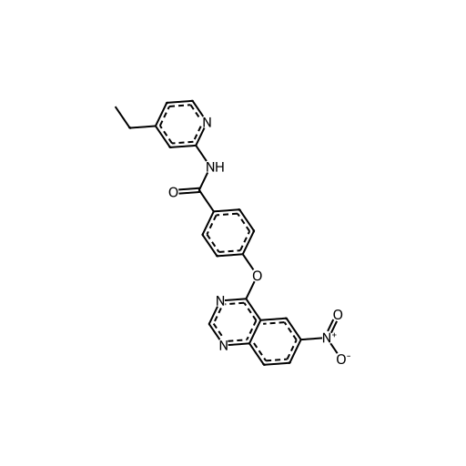 CCc1ccnc(NC(=O)c2ccc(Oc3ncnc4ccc([N+](=O)[O-])cc34)cc2)c1